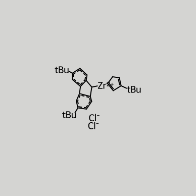 CC(C)(C)C1=CC[C]([Zr+2][CH]2c3ccc(C(C)(C)C)cc3-c3cc(C(C)(C)C)ccc32)=C1.[Cl-].[Cl-]